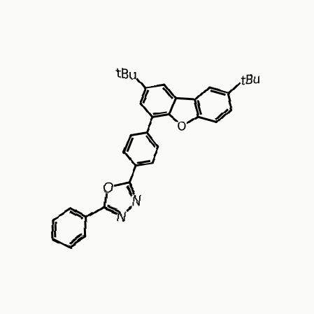 CC(C)(C)c1ccc2oc3c(-c4ccc(-c5nnc(-c6ccccc6)o5)cc4)cc(C(C)(C)C)cc3c2c1